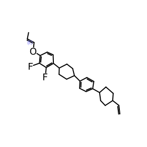 C=CC1CCC(c2ccc(C3CCC(c4ccc(O/C=C/C)c(F)c4F)CC3)cc2)CC1